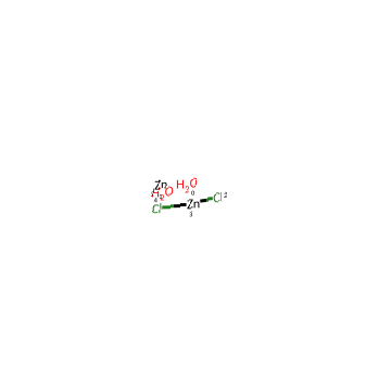 O.O.[Cl][Zn][Cl].[Zn]